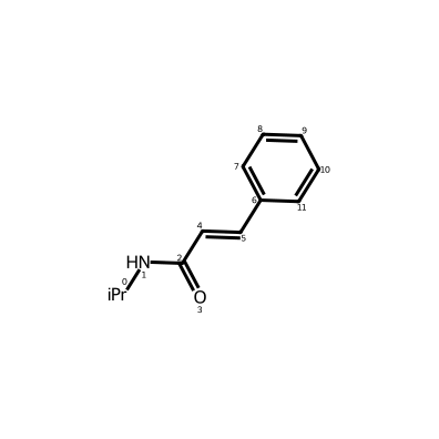 CC(C)NC(=O)C=Cc1ccccc1